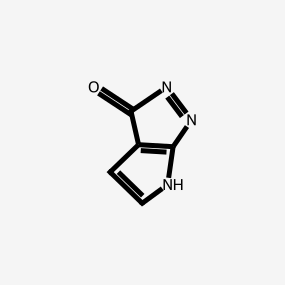 O=C1N=Nc2[nH]ccc21